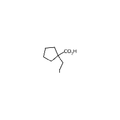 O=C(O)C1(CI)CCCC1